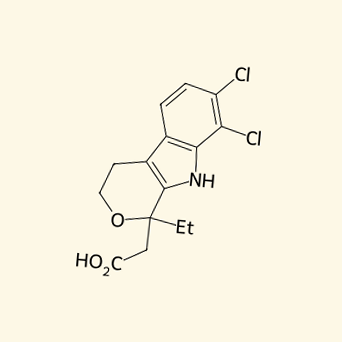 CCC1(CC(=O)O)OCCc2c1[nH]c1c(Cl)c(Cl)ccc21